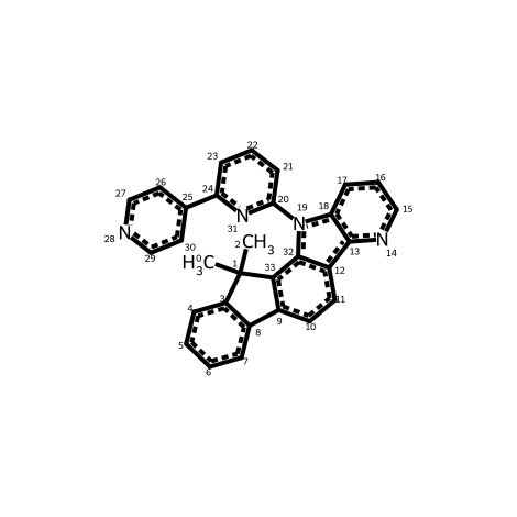 CC1(C)c2ccccc2-c2ccc3c4ncccc4n(-c4cccc(-c5ccncc5)n4)c3c21